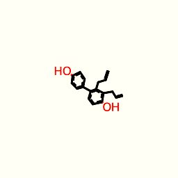 C=CCc1c(O)ccc(-c2ccc(O)cc2)c1CC=C